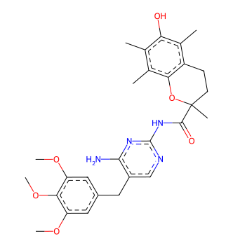 COc1cc(Cc2cnc(NC(=O)C3(C)CCc4c(C)c(O)c(C)c(C)c4O3)nc2N)cc(OC)c1OC